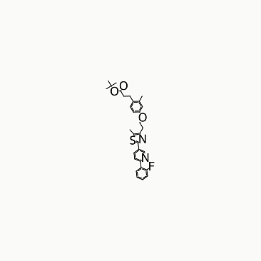 Cc1cc(OCCc2nc(-c3ccc(-c4ccccc4F)nc3)sc2C)ccc1CCC(=O)OC(C)(C)C